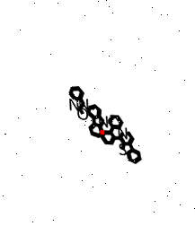 c1ccc(-c2nccc3c2sc2ccccc23)c(-c2ccccc2-n2c3ccccc3c3c4oc5nc6ccccc6n5c4ccc32)c1